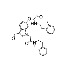 Cc1ccccc1CCNC(C=O)Oc1ccc2c(C=O)cn(CC(=O)N(C)CCc3ccccc3)c2c1